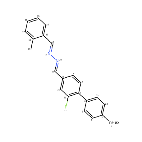 CCCCCCc1ccc(-c2ccc(C=NN=Cc3ccccc3C)cc2F)cc1